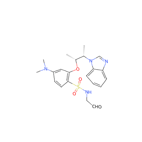 C[C@@H](Oc1cc(N(C)C)ccc1S(=O)(=O)NCC=O)[C@H](C)n1cnc2ccccc21